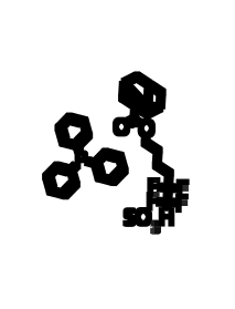 O=C(OCCCCC(F)(F)C(F)(F)S(=O)(=O)O)C12CC3CC(CC(C3)C1)C2.c1ccc(P(c2ccccc2)c2ccccc2)cc1